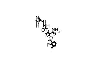 CC(Oc1nsc(NC(=O)NCCc2cnc[nH]2)c1C(N)=O)c1cccc(F)c1F